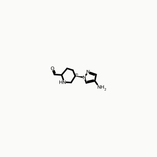 Nc1cnn([C@@H]2CCC(C=O)NC2)c1